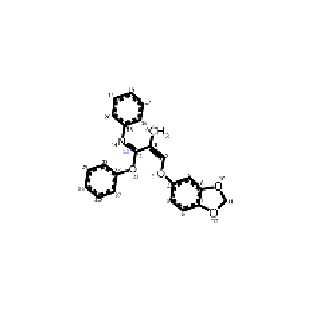 CC(=COc1ccc2c(c1)OCO2)/C(=N\c1ccccc1)Oc1ccccc1